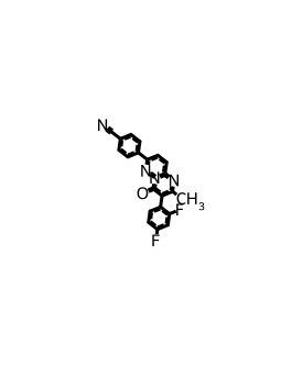 Cc1nc2ccc(-c3ccc(C#N)cc3)nn2c(=O)c1-c1ccc(F)cc1F